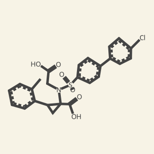 Cc1ccccc1C1CC1(C(=O)O)N(CC(=O)O)S(=O)(=O)c1ccc(-c2ccc(Cl)cc2)cc1